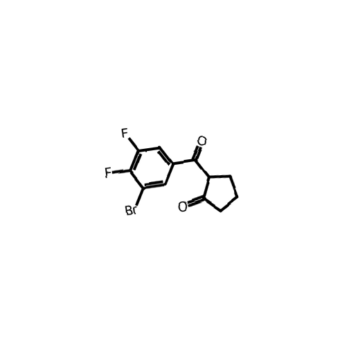 O=C1CCCC1C(=O)c1cc(F)c(F)c(Br)c1